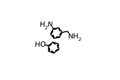 NCc1cccc(N)c1.Oc1ccccc1